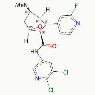 CN[C@@H]1C[C@H]2O[C@@H]1[C@H](c1ccnc(F)c1)[C@H]2C(=O)Nc1cnc(Cl)c(Cl)c1